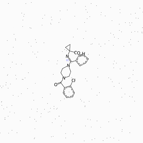 O=C(c1ccccc1Cl)N1CCN(/C(=N/C2(C(=O)O)CC2)c2ccccc2)CC1